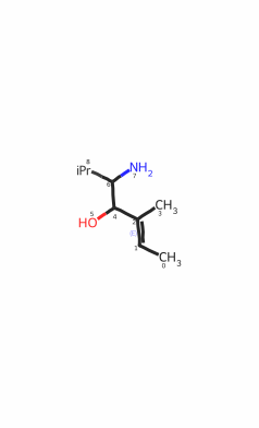 C/C=C(\C)C(O)C(N)C(C)C